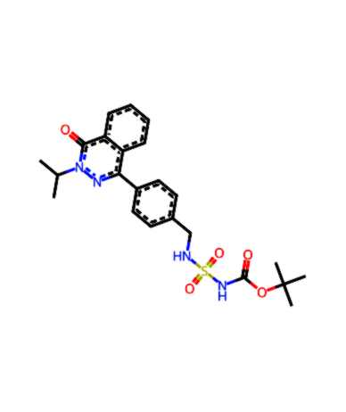 CC(C)n1nc(-c2ccc(CNS(=O)(=O)NC(=O)OC(C)(C)C)cc2)c2ccccc2c1=O